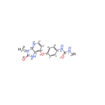 CC(C)NC(=O)Nc1ccc(Oc2ccnc3c2[nH]c(=O)n3C)cc1